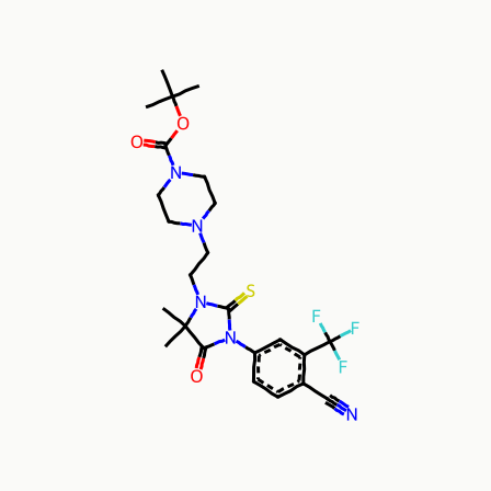 CC(C)(C)OC(=O)N1CCN(CCN2C(=S)N(c3ccc(C#N)c(C(F)(F)F)c3)C(=O)C2(C)C)CC1